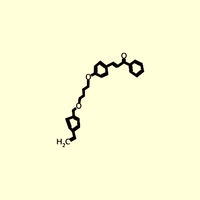 C=Cc1ccc(COCCCCOc2ccc(C=CC(=O)c3ccccc3)cc2)cc1